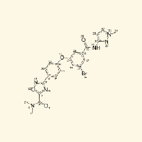 CN(C)C(=O)c1nc(-c2ccc(Oc3cc(Br)cc(C(=O)Nc4ccn(C)n4)c3)cc2)no1